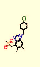 Cc1cc2c(ncn2Cc2ccc(Cl)cc2)c(CS(C)(=O)=O)c1C